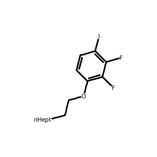 CCCCCCCCCOc1ccc(I)c(F)c1F